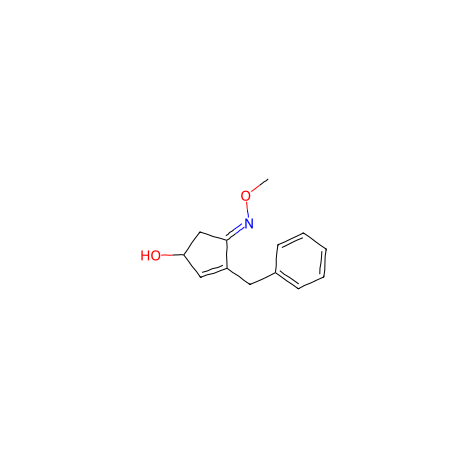 CO/N=C1\CC(O)C=C1Cc1ccccc1